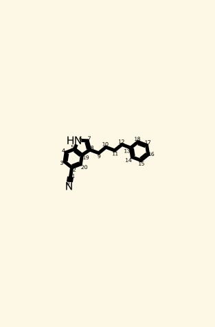 N#Cc1ccc2[nH]cc(CCCCc3ccccc3)c2c1